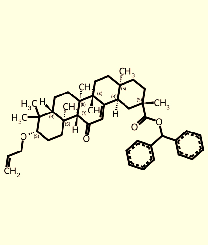 C=CCO[C@H]1CC[C@]2(C)[C@H]3C(=O)C=C4[C@@H]5C[C@@](C)(C(=O)OC(c6ccccc6)c6ccccc6)CC[C@]5(C)CC[C@@]4(C)[C@]3(C)CC[C@H]2C1(C)C